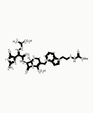 COC(=O)NOCCn1ccc2c1ccc[n+]2CC1=C(C(=O)O)N2C(=O)[C@@H](NC(=O)/C(=N\O[C@@H](C)C(=O)O)c3nc(N)sc3Cl)[C@H]2SC1